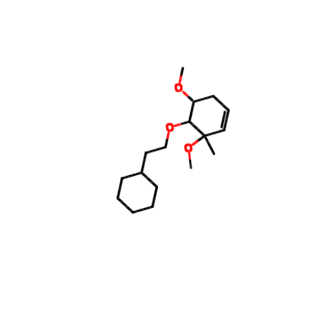 COC1CC=CC(C)(OC)C1OCCC1CCCCC1